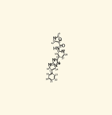 Cc1nc(C)c(C(=O)Nc2cc(-c3nc4ncc(-c5ccccc5)cn4n3)ccn2)o1